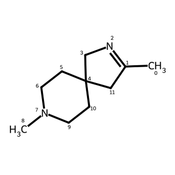 CC1=NCC2(CCN(C)CC2)C1